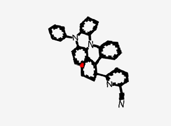 N#Cc1cccc(-c2ccccc2-c2ccccc2N2c3ccccc3N(c3ccccc3)c3ccccc32)n1